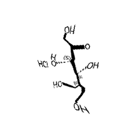 Cl.O=C(CO)[C@@H](O)[C@H](O)[C@H](O)CO